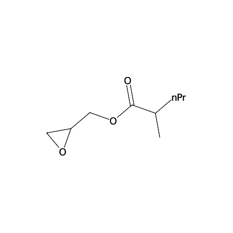 CCCC(C)C(=O)OCC1CO1